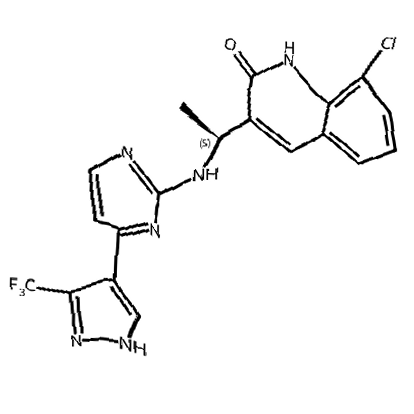 C[C@H](Nc1nccc(-c2c[nH]nc2C(F)(F)F)n1)c1cc2cccc(Cl)c2[nH]c1=O